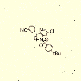 CC(C)(C)c1ccc(S(=O)(=O)Nc2cc(Cl)cnc2C(=O)c2cccc(C#N)c2)cc1